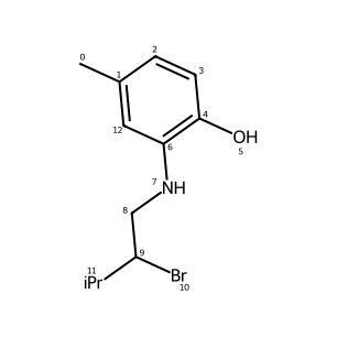 Cc1ccc(O)c(NCC(Br)C(C)C)c1